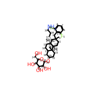 CC1(Cc2c(F)cccc2F)CC[C@H]2[C@@H](CCC3C[C@@H](O[C@@H]4O[C@H](CO)[C@@H](O)C(O)[C@H]4O)CCC32C)[C@@H]1CCCN